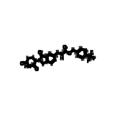 O=C1CCC(N2Cc3ccc(CNC(=O)OCc4ccc(C(F)(F)F)nc4)cc3C2=O)C(=O)N1